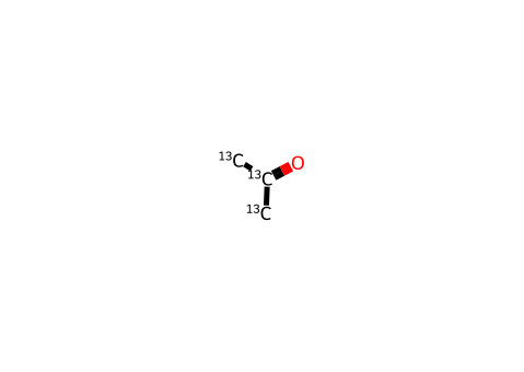 [13CH3][13C]([13CH3])=O